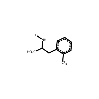 O=C(O)C(Cc1ccccc1C(F)(F)F)NF